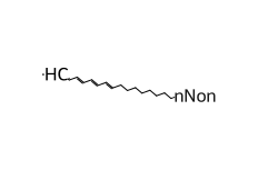 [CH]=C/C=C/C=C/C=C/CCCCCCCCCCCCCCCCC